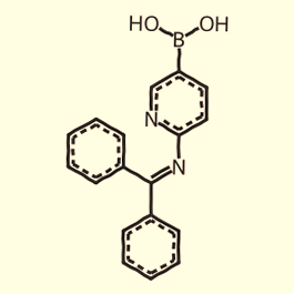 OB(O)c1ccc(N=C(c2ccccc2)c2ccccc2)nc1